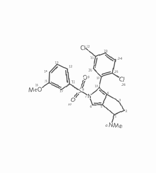 CNC1CCc2c1cn(S(=O)(=O)c1cccc(OC)c1)c2-c1cc(Cl)ccc1Cl